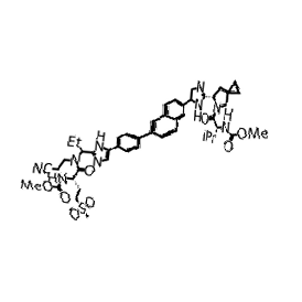 CC[C@@H](c1ncc(-c2ccc(-c3ccc4cc(C5CN=C([C@@H]6CC7(CC7)CN6C(=O)[C@@H](NC(=O)OC)C(C)C)N5)ccc4c3)cc2)[nH]1)N(CCC#N)C(=O)[C@H](CCS(C)(=O)=O)NC(=O)OC